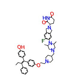 CCC(=C(c1ccc(O)cc1)c1ccc(OCCN2CCC(CN3CC(C)N(c4cc5c(cc4F)CN(C4CCC(=O)NC4=O)C5)C(C)C3)CC2)cc1)c1ccccc1